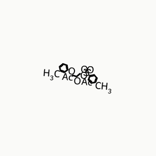 CC(=O)OC(COc1cccc(C)c1C(C)=O)COS(=O)(=O)c1ccc(C)cc1